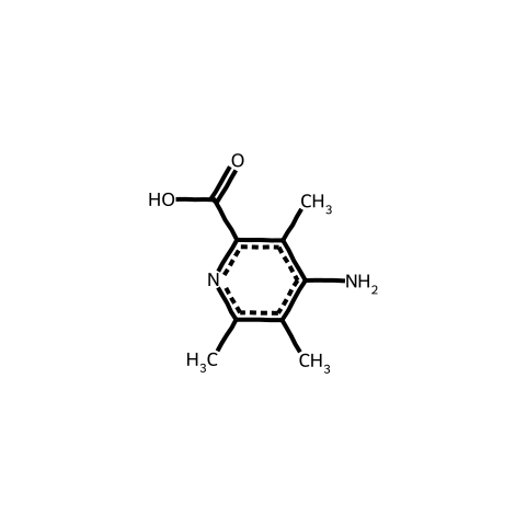 Cc1nc(C(=O)O)c(C)c(N)c1C